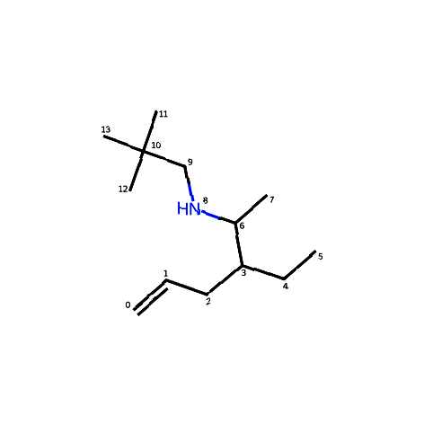 C=CCC(CC)C(C)NCC(C)(C)C